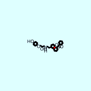 O=PC(Oc1ccc(CCNC[C@H](O)COc2ccc(O)cc2)cc1)(c1ccccc1)c1ccccc1